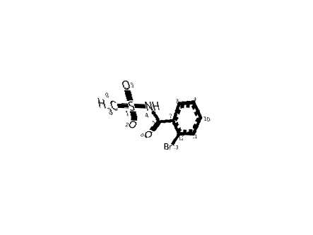 CS(=O)(=O)NC(=O)c1ccccc1Br